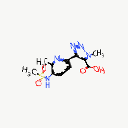 Cc1nc(-c2nnn(C)c2C(=O)O)ccc1NS(C)(=O)=O